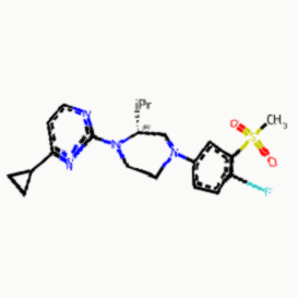 CC(C)[C@@H]1CN(c2ccc(F)c(S(C)(=O)=O)c2)CCN1c1nccc(C2CC2)n1